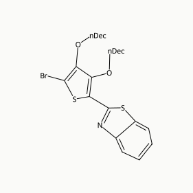 CCCCCCCCCCOc1c(Br)sc(-c2nc3ccccc3s2)c1OCCCCCCCCCC